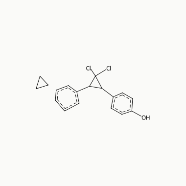 C1CC1.Oc1ccc(C2C(c3ccccc3)C2(Cl)Cl)cc1